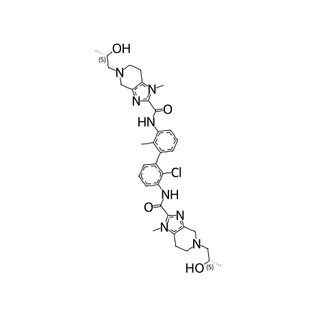 Cc1c(NC(=O)c2nc3c(n2C)CCN(C[C@H](C)O)C3)cccc1-c1cccc(NC(=O)c2nc3c(n2C)CCN(C[C@H](C)O)C3)c1Cl